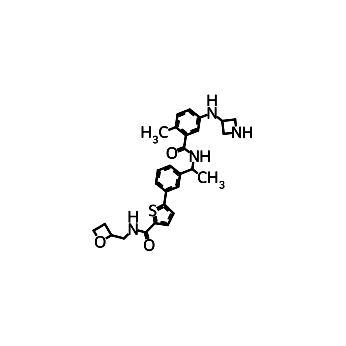 Cc1ccc(NC2CNC2)cc1C(=O)NC(C)c1cccc(-c2ccc(C(=O)NCC3CCO3)s2)c1